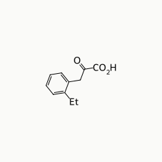 CCc1ccccc1CC(=O)C(=O)O